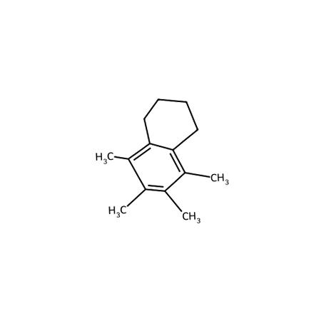 Cc1c(C)c(C)c2c(c1C)CCCC2